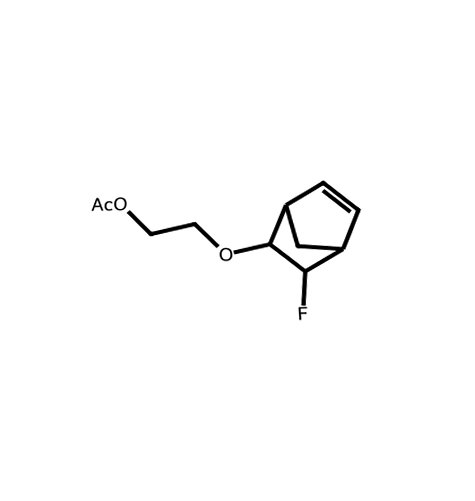 CC(=O)OCCOC1C2C=CC(C2)C1F